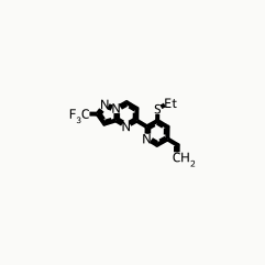 C=Cc1cnc(-c2ccn3nc(C(F)(F)F)cc3n2)c(SCC)c1